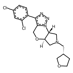 Clc1ccc(-c2nnn3c2CO[C@@H]2CN(C[C@@H]4CCOC4)C[C@H]23)c(Cl)c1